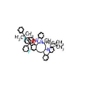 C=C1CC2C(CCc3cc(F)c4c(oc5cc(C(C)(C)c6ccccc6)ccc54)c3C3N1c1ccccc1N3c1ccc(F)c(-c3ccccc3)c1)c1ccccc1-c1ccc([Si](C)(C)C)c[n+]12